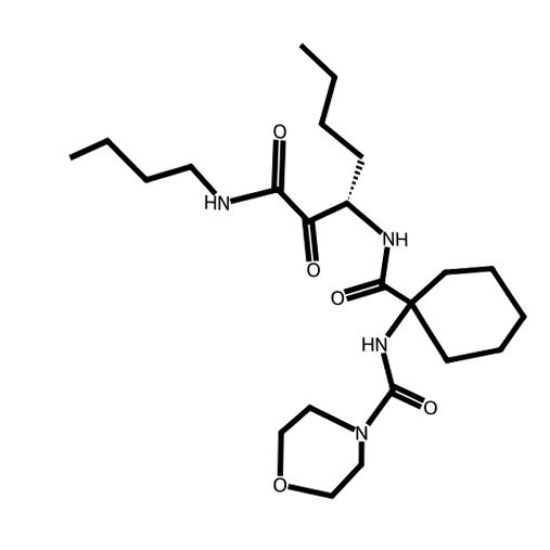 CCCCNC(=O)C(=O)[C@H](CCCC)NC(=O)C1(NC(=O)N2CCOCC2)CCCCC1